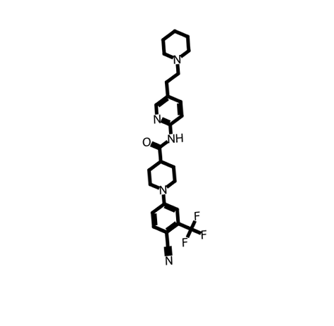 N#Cc1ccc(N2CCC(C(=O)Nc3ccc(CCN4CCCCC4)cn3)CC2)cc1C(F)(F)F